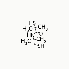 CC(C)(CS)NC(=O)C(C)(C)S